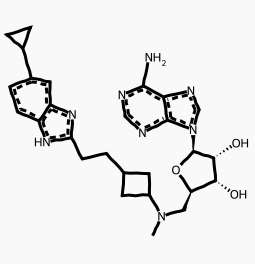 CN(C[C@H]1O[C@@H](n2cnc3c(N)ncnc32)[C@H](O)[C@@H]1O)C1CC(CCc2nc3cc(C4CC4)ccc3[nH]2)C1